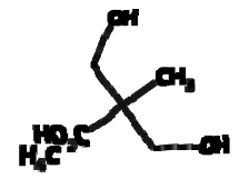 C.CC(CO)(CO)C(=O)O